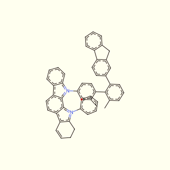 Cc1cc(-n2c3ccccc3c3ccc4c5c(n(-c6ccccc6)c4c32)CCC=C5)ccc1-c1c(C)cccc1-c1ccc2c(c1)Cc1ccccc1-2